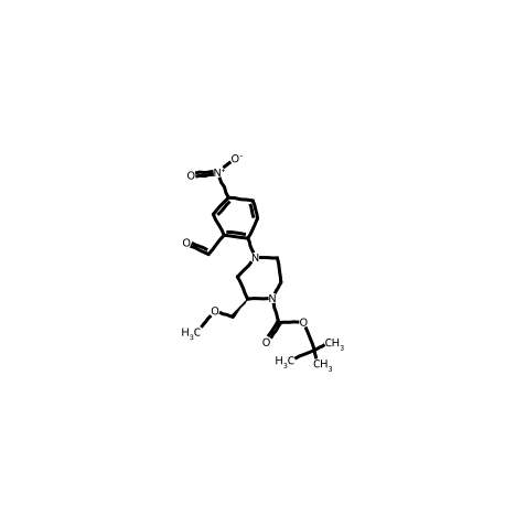 COC[C@H]1CN(c2ccc([N+](=O)[O-])cc2C=O)CCN1C(=O)OC(C)(C)C